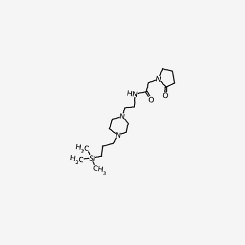 C[Si](C)(C)CCCN1CCN(CCNC(=O)CN2CCCC2=O)CC1